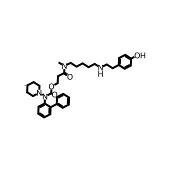 CN(CCCCCNCCc1ccc(O)cc1)C(=O)CCOC(=O)N(c1ccccc1-c1ccccc1)N1CC[CH]CC1